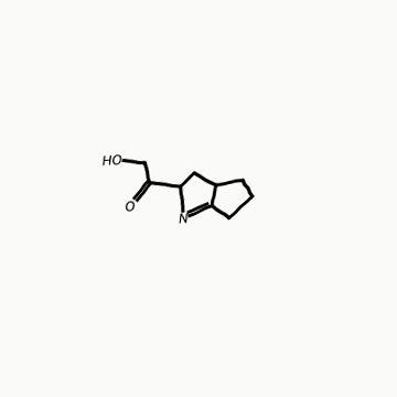 O=C(CO)C1CC2CCCC2=N1